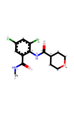 CC(C)NC(=O)c1cc(Cl)cc(Br)c1NC(=O)C1CCOCC1